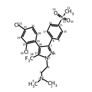 CN(C)CCn1nc(-c2ccc(S(C)(=O)=O)cc2)c(-c2ccc(Cl)cc2Cl)c1C(F)(F)F